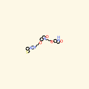 O=c1ccc2cc(OCCCCn3c(=O)ccc4ccc(OCCCCN5CCN(c6cccc7sccc67)CC5)cc43)ccc2[nH]1